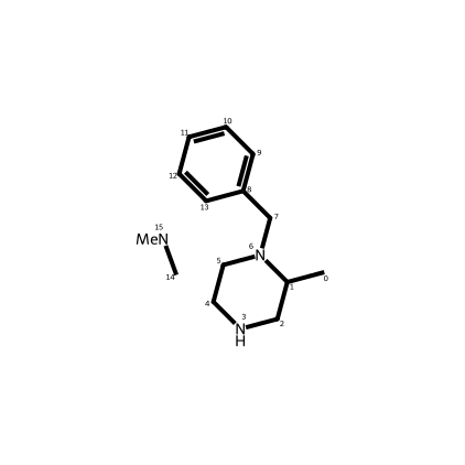 CC1CNCCN1Cc1ccccc1.CNC